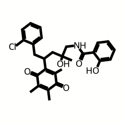 CC1=C(C)C(=O)C(C(Cc2ccccc2Cl)CC(C)(O)CNC(=O)c2ccccc2O)=C(C)C1=O